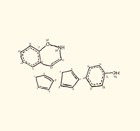 C1=CCC=C1.C1=CCC=C1.C1=Cc2ccccc2ON1.Oc1ccccc1